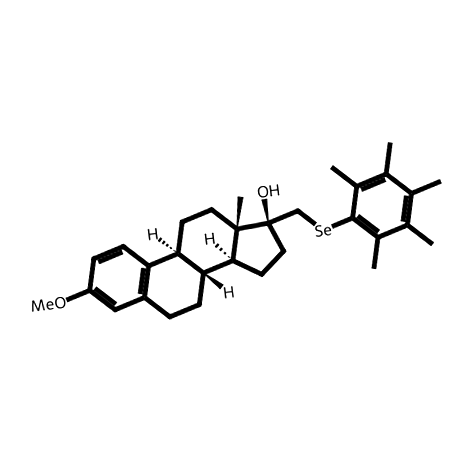 COc1ccc2c(c1)CC[C@@H]1[C@@H]2CC[C@@]2(C)[C@H]1CC[C@@]2(O)C[Se]c1c(C)c(C)c(C)c(C)c1C